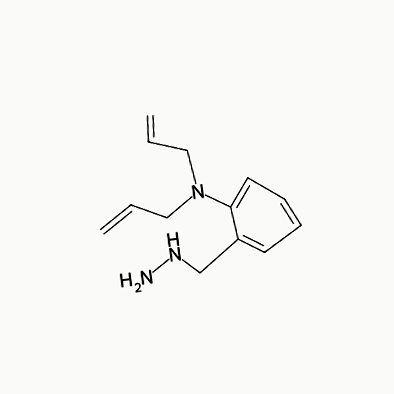 C=CCN(CC=C)c1ccccc1CNN